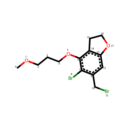 COCCCOc1c(Br)c(CBr)cc2c1CCO2